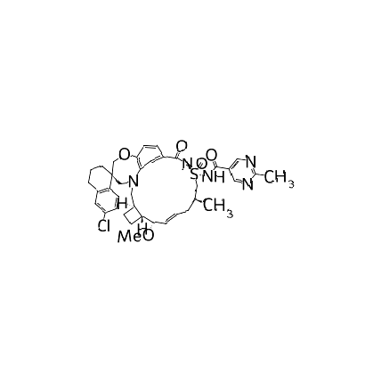 CO[C@H]1/C=C/C[C@H](C)C[S@@](=O)(NC(=O)c2cnc(C)nc2)=NC(=O)c2ccc3c(c2)N(C[C@@H]2CC[C@H]21)C[C@@]1(CCCc2cc(Cl)ccc21)CO3